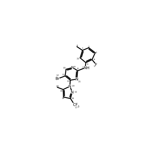 Cc1ccc(F)c(Nc2ncc(Br)c(-n3nc(C(F)(F)F)cc3C)n2)c1